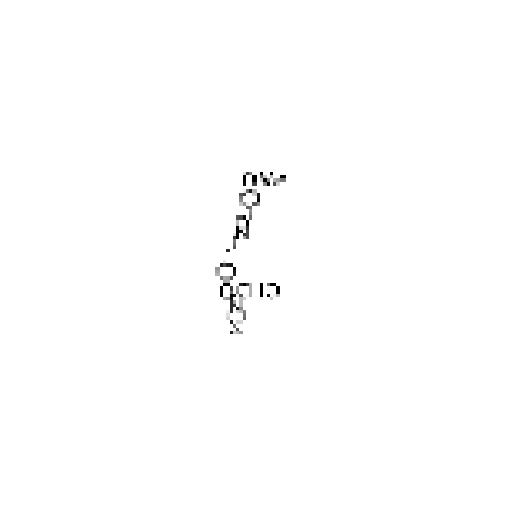 COc1ccc(CON=CCCc2ccc(OC(C=O)N3CCC4(CC3)CC4)cc2)cc1